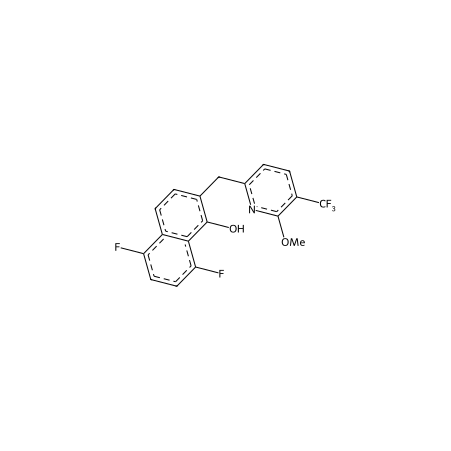 COc1nc(Cc2ccc3c(F)ccc(F)c3c2O)ccc1C(F)(F)F